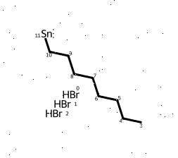 Br.Br.Br.CCCCCCC[CH2][Sn]